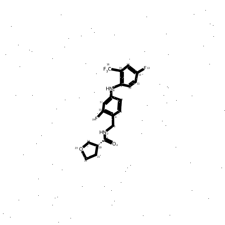 O=C(NCc1ccc(Nc2ccc(F)cc2C(F)(F)F)cc1F)[C@@H]1CCOC1